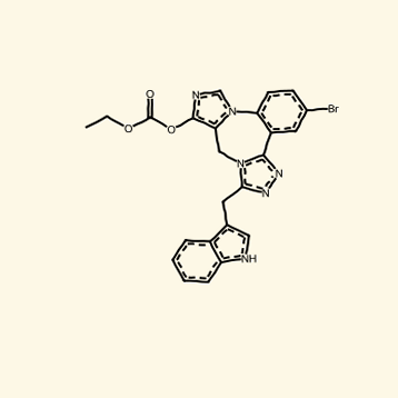 CCOC(=O)Oc1ncn2c1Cn1c(Cc3c[nH]c4ccccc34)nnc1-c1cc(Br)ccc1-2